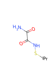 CC(C)SNC(=O)C(N)=O